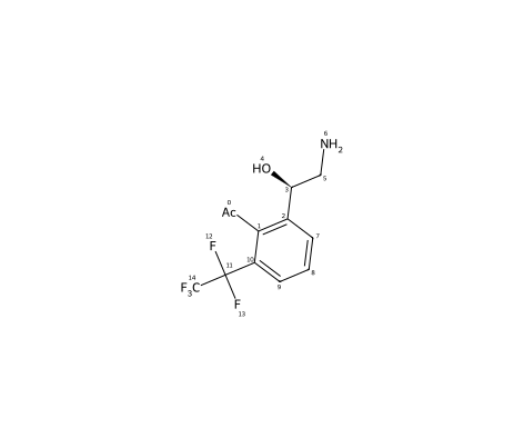 CC(=O)c1c([C@@H](O)CN)cccc1C(F)(F)C(F)(F)F